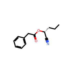 CCC[C@H](C#N)OC(=O)Cc1ccccc1